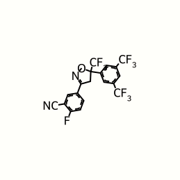 N#Cc1cc(C2=NOC(c3cc(C(F)(F)F)cc(C(F)(F)F)c3)(C(F)(F)F)C2)ccc1F